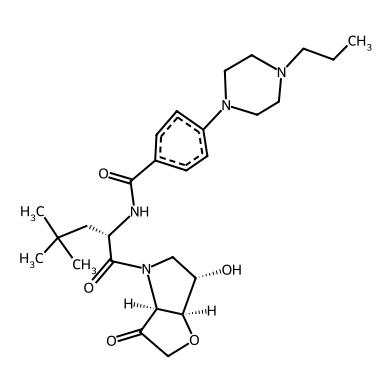 CCCN1CCN(c2ccc(C(=O)N[C@@H](CC(C)(C)C)C(=O)N3C[C@H](O)[C@H]4OCC(=O)[C@H]43)cc2)CC1